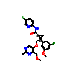 COCc1nc(C)ncc1OC[C@@]1(C2C=C(OC)C=C(F)C2)C[C@H]1C(=O)Nc1ccc(F)cn1